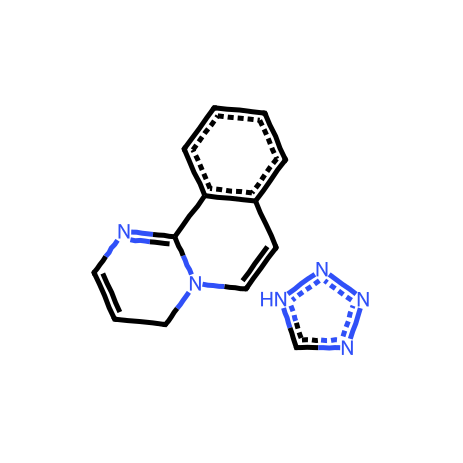 C1=CN=C2c3ccccc3C=CN2C1.c1nnn[nH]1